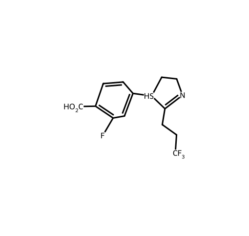 O=C(O)c1ccc([SH]2CCN=C2CCC(F)(F)F)cc1F